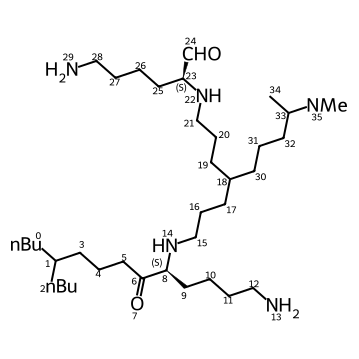 CCCCC(CCCC)CCCC(=O)[C@H](CCCCN)NCCCC(CCCN[C@H](C=O)CCCCN)CCCC(C)NC